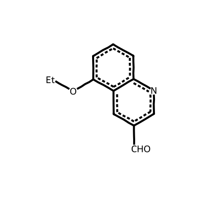 CCOc1cccc2ncc(C=O)cc12